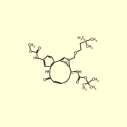 COC(=O)Nc1ccc2c(c1)NC(=O)C=CCC[C@H](NC(=O)OC(C)(C)C)c1nc-2cn1COCC[Si](C)(C)C